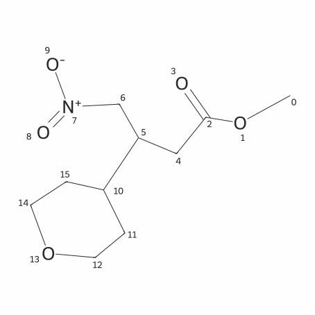 COC(=O)CC(C[N+](=O)[O-])C1CCOCC1